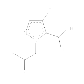 CC(C)c1c(F)[c]nn1CC(F)F